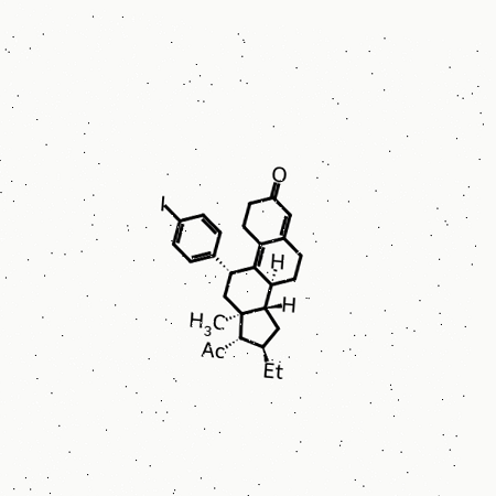 CC[C@@H]1C[C@H]2[C@@H]3CCC4=CC(=O)CCC4=C3[C@@H](c3ccc(I)cc3)C[C@]2(C)[C@H]1C(C)=O